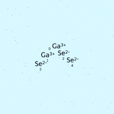 [Ga+3].[Ga+3].[Se-2].[Se-2].[Se-2]